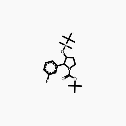 CC(C)(C)OC(=O)N1CCC(O[Si](C)(C)C(C)(C)C)C1c1cccc(F)c1